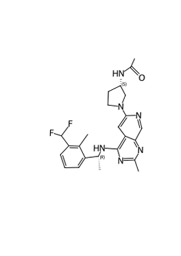 CC(=O)N[C@H]1CCN(c2cc3c(N[C@H](C)c4cccc(C(F)F)c4C)nc(C)nc3cn2)C1